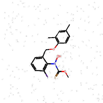 COC(=S)N(O)c1c(I)cccc1COc1ccc(C)cc1C